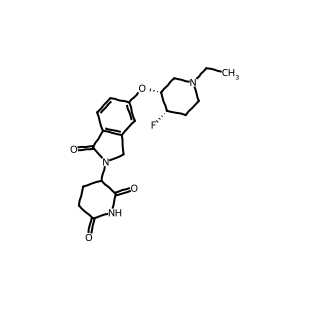 CCN1CC[C@H](F)[C@H](Oc2ccc3c(c2)CN(C2CCC(=O)NC2=O)C3=O)C1